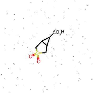 O=C(O)C1C2CS(=O)(=O)CC21